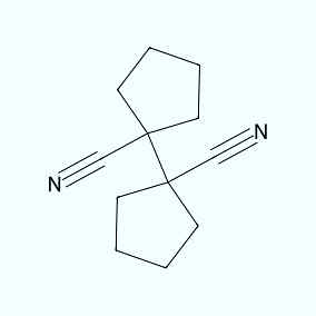 N#CC1(C2(C#N)CCCC2)CCCC1